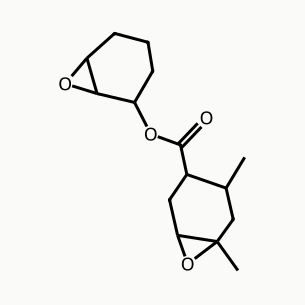 CC1CC2(C)OC2CC1C(=O)OC1CCCC2OC12